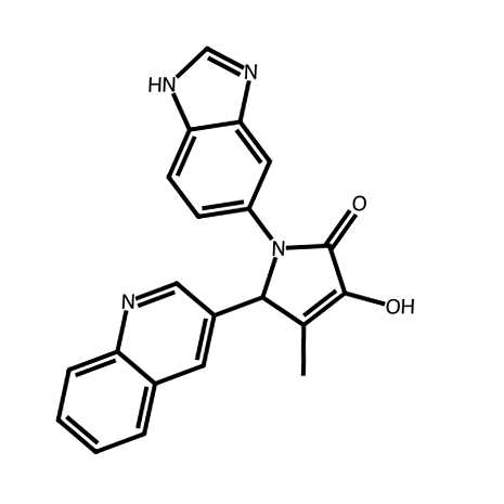 CC1=C(O)C(=O)N(c2ccc3[nH]cnc3c2)C1c1cnc2ccccc2c1